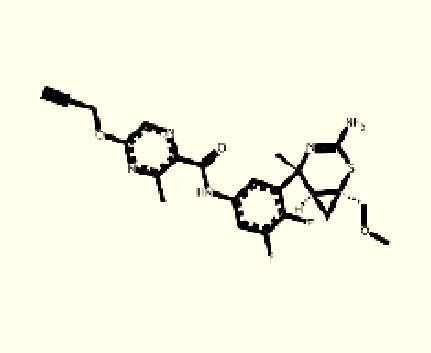 C#CCOc1cnc(C(=O)Nc2cc(F)c(F)c([C@]3(C)N=C(N)S[C@@]4(COC)C[C@H]43)c2)c(C)n1